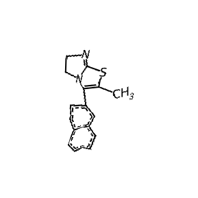 CC1=C(c2ccc3ccccc3c2)N2CCN=C2S1